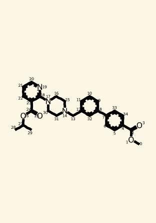 COC(=O)c1ccc(-c2cccc(CN3CCN(c4ncccc4C(=O)OC(C)C)CC3)c2)cc1